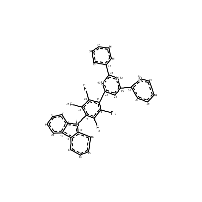 Fc1c(F)c(-n2c3ccccc3c3ccccc32)c(F)c(F)c1-c1cc(-c2ccccn2)nc(-c2ccccc2)n1